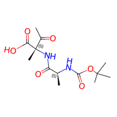 CC(=O)[C@](C)(NC(=O)[C@H](C)NC(=O)OC(C)(C)C)C(=O)O